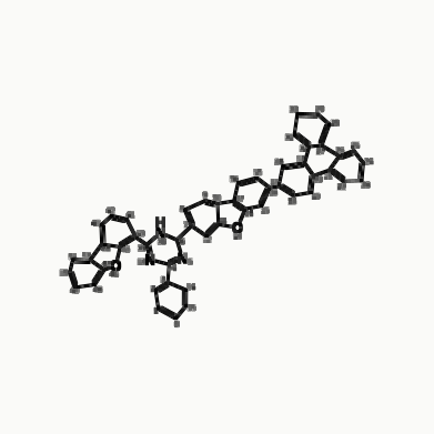 c1ccc(C2=NC(c3ccc4c(c3)oc3cc(-c5ccc6c7ccccc7c7ccccc7c6c5)ccc34)NC(c3cccc4c3oc3ccccc34)=N2)cc1